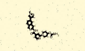 Cn1cc(-c2ccc3cnc(NC(=O)c4ccnc(N5CCC(OC(N)=O)CC5)c4)cc3c2)cn1